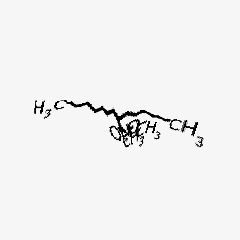 CCCCCCCCC(CCCCCCCC)C(=O)N(C)OC